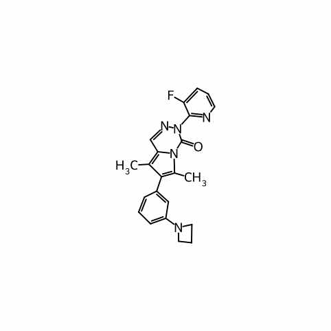 Cc1c(-c2cccc(N3CCC3)c2)c(C)n2c(=O)n(-c3ncccc3F)ncc12